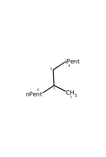 CCCCCC(C)CC(C)CCC